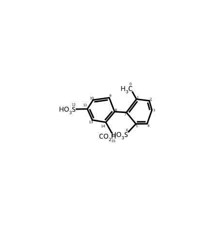 Cc1[c]ccc(S(=O)(=O)O)c1-c1ccc(S(=O)(=O)O)cc1C(=O)O